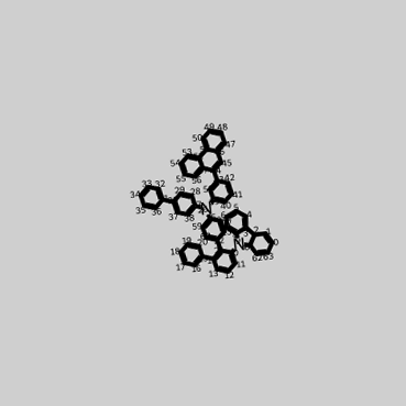 C1=CC2c3ccccc3N(c3cccc(-c4ccccc4)c3-c3ccc(N(c4ccc(-c5ccccc5)cc4)c4cccc(-c5cc6ccccc6c6ccccc56)c4)cc3)C2C=C1